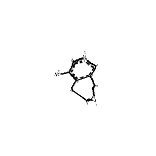 N#Cc1cncc2c1CCOC2